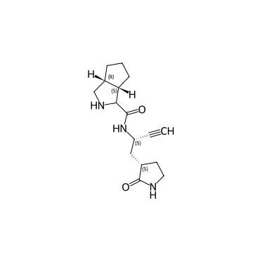 C#C[C@H](C[C@@H]1CCNC1=O)NC(=O)C1NC[C@@H]2CCC[C@H]12